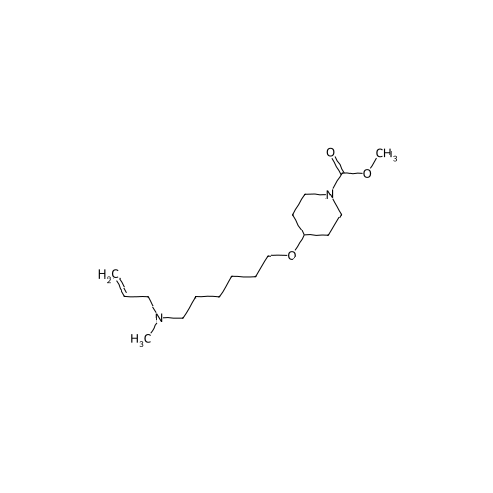 C=CCN(C)CCCCCCOC1CCN(C(=O)OC)CC1